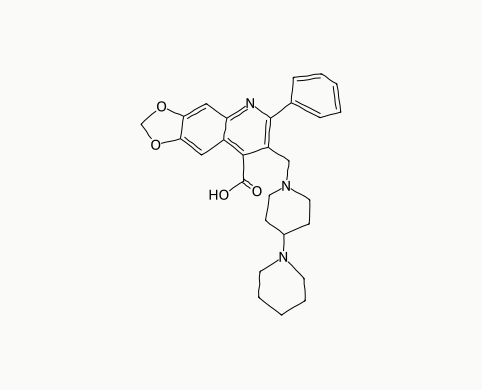 O=C(O)c1c(CN2CCC(N3CCCCC3)CC2)c(-c2ccccc2)nc2cc3c(cc12)OCO3